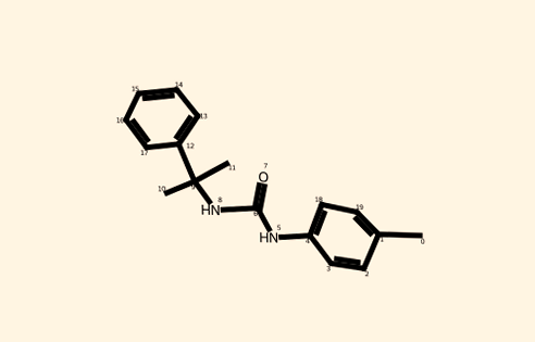 Cc1ccc(NC(=O)NC(C)(C)c2ccccc2)cc1